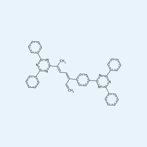 C=C/C(=C\C=C(/C)c1nc(-c2ccccc2)nc(-c2ccccc2)n1)c1ccc(-c2nc(-c3ccccc3)nc(-c3ccccc3)n2)cc1